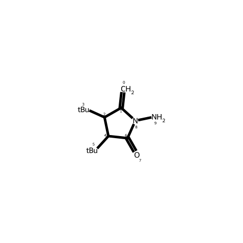 C=C1C(C(C)(C)C)C(C(C)(C)C)C(=O)N1N